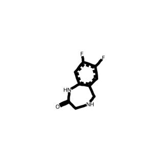 O=C1CNCc2cc(F)c(F)cc2N1